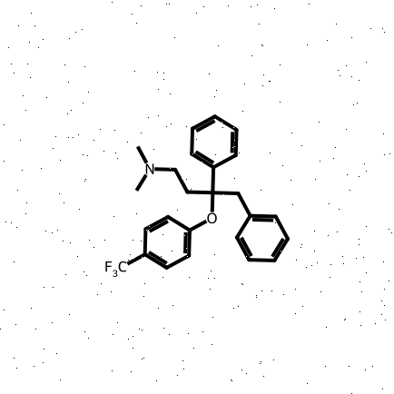 CN(C)CCC(Cc1ccccc1)(Oc1ccc(C(F)(F)F)cc1)c1ccccc1